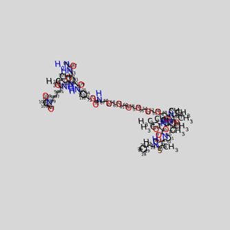 CC[C@H](C)[C@@H]([C@@H](CC(=O)N1CCC[C@H]1[C@H](OC)[C@@H](C)C(=S)NCCc1ccccc1)OC)N(C)C(=O)[C@@H](NC(=O)[C@H](C(C)C)N(C)C(=O)CCOCCOCCOCCOCCOCCOCCNC(=O)OCc1ccc(NC(=O)[C@H](CCCNC(N)=O)NC(=O)[C@@H](NC(=O)CCCCCN2C(=O)C=CC2=O)C(C)C)cc1)C(C)C